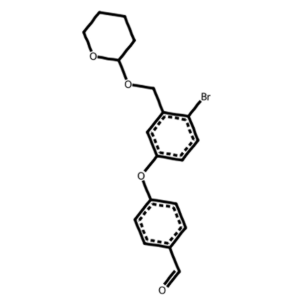 O=Cc1ccc(Oc2ccc(Br)c(COC3CCCCO3)c2)cc1